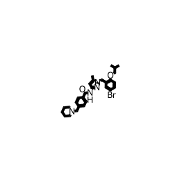 Cc1cc(NC(=O)c2ccc(CN3CCCCC3)cc2)nn1Cc1cc(Br)ccc1OCC(C)C